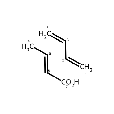 C=CC=C.CC=CC(=O)O